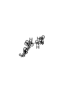 Cc1cc(N2CC[C@](C)(c3ccccc3)C2)cn2nc(C(=O)N3CC[C@@]4(CCN(c5cc(NC(=O)CCCCC(=O)Nc6ccc7c(C8CCC(=O)NC8=O)nn(C)c7c6)cc(C(=O)O)n5)C4)C3)nc12